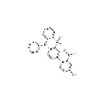 CC(=O)c1cc(Br)ccc1-c1ccc2c(c1)C(C)(C)c1ccccc1N2c1ccccc1